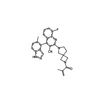 C=C(C)C(=O)N1CC2(CCN(c3nc4c(F)cccc4c(-c4c(C)ccc5[nH]ncc45)c3C#N)C2)C1